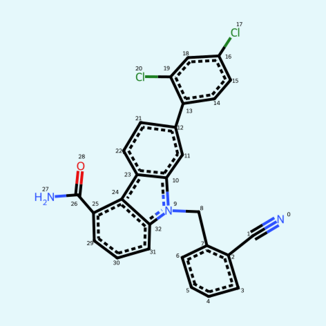 N#Cc1ccccc1Cn1c2cc(-c3ccc(Cl)cc3Cl)c[c]c2c2c(C(N)=O)cccc21